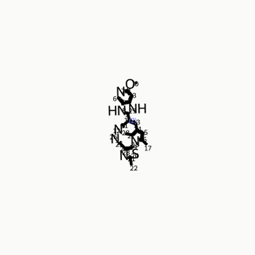 COc1cc2c(cn1)NC(/C(C#N)=C/c1cc(C)n(-c3sc(C)nc3C#N)c1C)N2